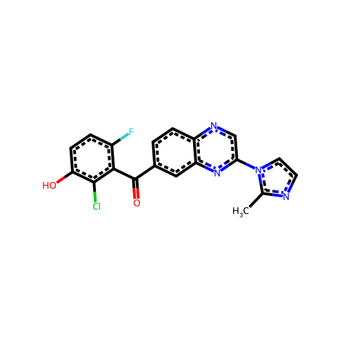 Cc1nccn1-c1cnc2ccc(C(=O)c3c(F)ccc(O)c3Cl)cc2n1